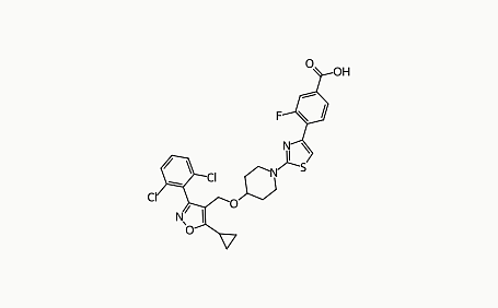 O=C(O)c1ccc(-c2csc(N3CCC(OCc4c(-c5c(Cl)cccc5Cl)noc4C4CC4)CC3)n2)c(F)c1